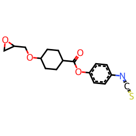 O=C(Oc1ccc(N=C=S)cc1)C1CCC(OCC2CO2)CC1